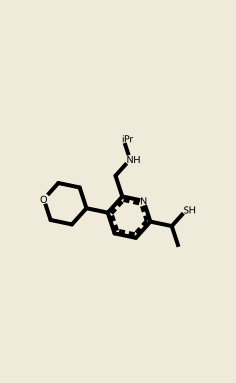 CC(C)NCc1nc(C(C)S)ccc1C1CCOCC1